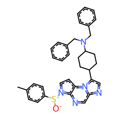 Cc1ccc([S+]([O-])n2ccc3c2ncc2ncc(C4CCC(N(Cc5ccccc5)Cc5ccccc5)CC4)n23)cc1